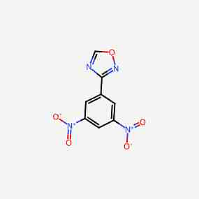 O=[N+]([O-])c1cc(-c2ncon2)cc([N+](=O)[O-])c1